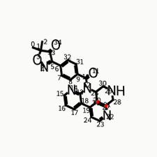 CC1(C)ON=C(c2ccc(C(=O)N(c3ncccc3-c3ccncc3)C3CCCNC3)cc2)C1=O